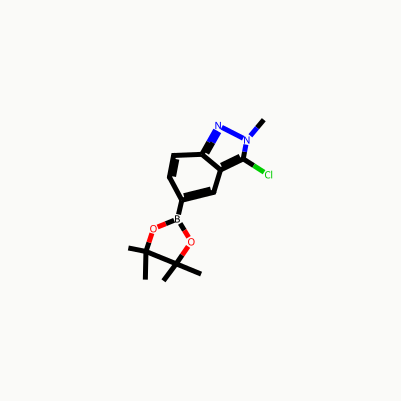 Cn1nc2ccc(B3OC(C)(C)C(C)(C)O3)cc2c1Cl